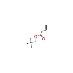 C=CCC(=O)OCC(C)(C)C